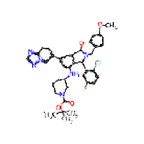 COc1ccc(CN2C(=O)c3cc(-c4ccc5ncnn5c4)cc(NC4CCCN(C(=O)OC(C)(C)C)C4)c3C2c2cc(F)ccc2Cl)cc1